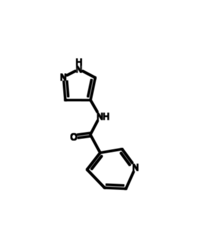 O=C(Nc1cn[nH]c1)c1cccnc1